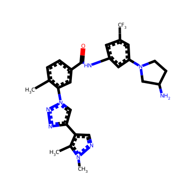 Cc1ccc(C(=O)Nc2cc(N3CCC(N)C3)cc(C(F)(F)F)c2)cc1-n1cc(-c2cnn(C)c2C)nn1